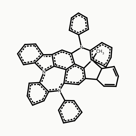 CN1c2c(cc3c4c2c(N(c2ccccc2)c2ccccc2)cc2c5ccccc5n(c5ccccc5n3-c3ccccc3)c24)C2C=CC=CC21